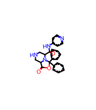 O=C(Nc1ccncc1)C1CNCC2C(=O)OC(c3ccccc3)(c3ccccc3)N12